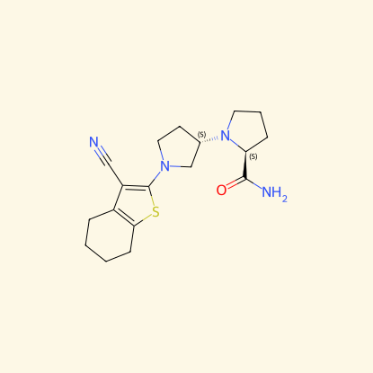 N#Cc1c(N2CC[C@H](N3CCC[C@H]3C(N)=O)C2)sc2c1CCCC2